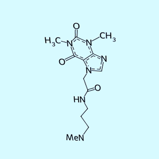 CNCCCNC(=O)Cn1cnc2c1c(=O)n(C)c(=O)n2C